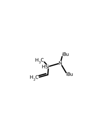 C=C[SiH](C)N(C(C)CC)C(C)CC